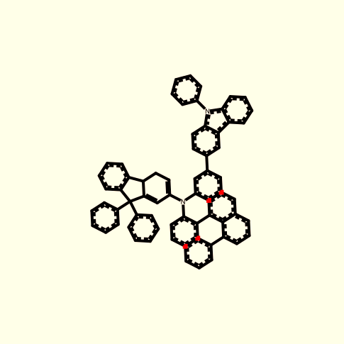 C1=C(N(c2cccc(-c3ccc4c(c3)c3ccccc3n4-c3ccccc3)c2)c2ccccc2-c2cccc3cccc(-c4ccccc4)c23)C=C2C(C1)c1ccccc1C2(c1ccccc1)c1ccccc1